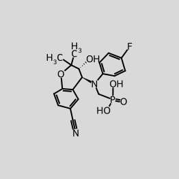 CC1(C)Oc2ccc(C#N)cc2[C@H](N(CP(=O)(O)O)c2ccc(F)cc2)[C@H]1O